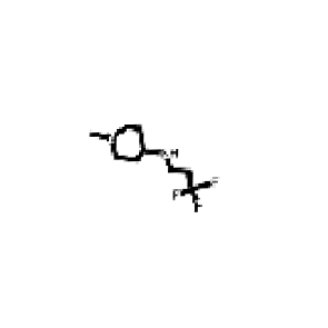 CN1CCC(NCCC(F)(F)F)CC1